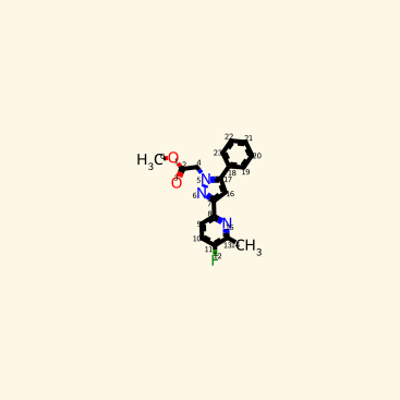 COC(=O)Cn1nc(-c2ccc(F)c(C)n2)cc1-c1ccccc1